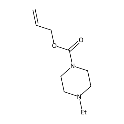 [CH2]CN1CCN(C(=O)OCC=C)CC1